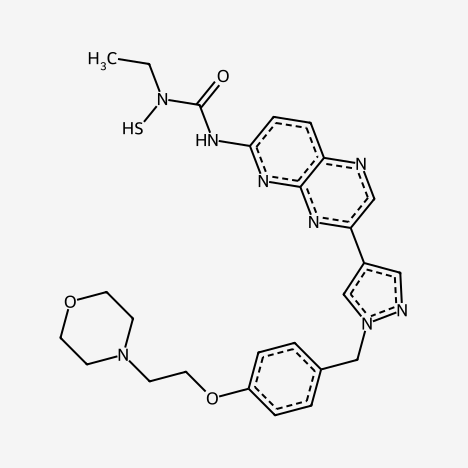 CCN(S)C(=O)Nc1ccc2ncc(-c3cnn(Cc4ccc(OCCN5CCOCC5)cc4)c3)nc2n1